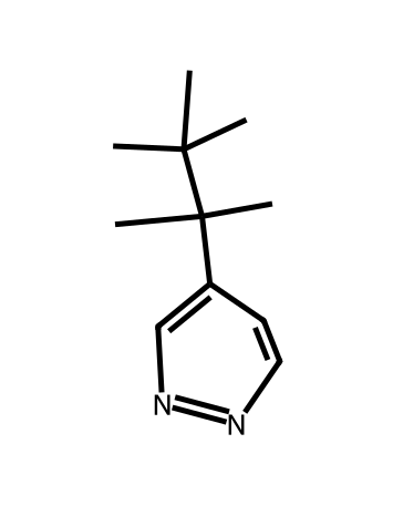 CC(C)(C)C(C)(C)c1ccnnc1